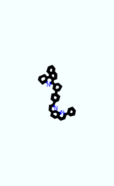 C1=CCC2C(=C1)N=C(C1=CC(c3ccc(C4=NC5c6nc(-c7ccccc7)ccc6C=CC5C=C4)cc3)=CCC1)c1ccc3ccccc3c12